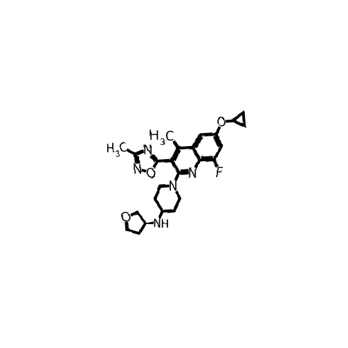 Cc1noc(-c2c(N3CCC(N[C@H]4CCOC4)CC3)nc3c(F)cc(OC4CC4)cc3c2C)n1